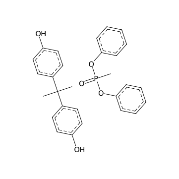 CC(C)(c1ccc(O)cc1)c1ccc(O)cc1.CP(=O)(Oc1ccccc1)Oc1ccccc1